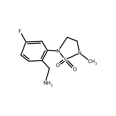 CN1CCN(c2cc(F)ccc2CN)S1(=O)=O